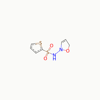 O=S(=O)(NN1C=CCO1)c1cccs1